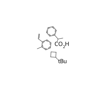 C=Cc1ccccc1C.CC(C(=O)O)c1ccccc1.CC(C)(C)C1CCC1